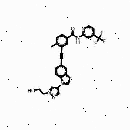 Cc1ccc(C(=O)Nc2cc(C(F)(F)F)ccn2)cc1C#Cc1ccc2c(c1)ncn2-c1cnn(CCO)c1